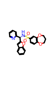 O=S(=O)(N[C@@H](c1ccccn1)c1cc2ccccc2o1)c1ccc2c(c1)OCCCO2